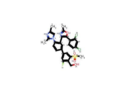 Cc1cn(-c2ccc(-c3cc(F)c(CO)c(S(C)(=O)=O)c3)cc2-c2nc(C)oc2-c2ccc(Cl)cc2Cl)c(C)n1